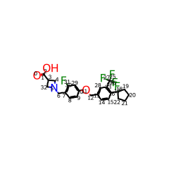 O=C(O)C1CN(Cc2ccc(OCc3ccc(C4(F)CCCC4)c(C(F)(F)F)c3)cc2F)C1